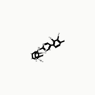 Cc1ccc(-c2cnc(N[C@H]3C4CCN(CC4)[C@@H]3C)nc2)c(F)c1F